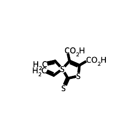 C=CS1(C=C)C(=S)SC(C(=O)O)=C1C(=O)O